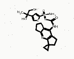 CC(O)(CO)c1csc([S@](N)(=O)=NC(=O)Nc2c3c(nc4c2CCC42CC2)CCC3)c1